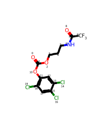 O=C(OCCCNC(=O)C(F)(F)F)Oc1cc(Cl)c(Cl)cc1Cl